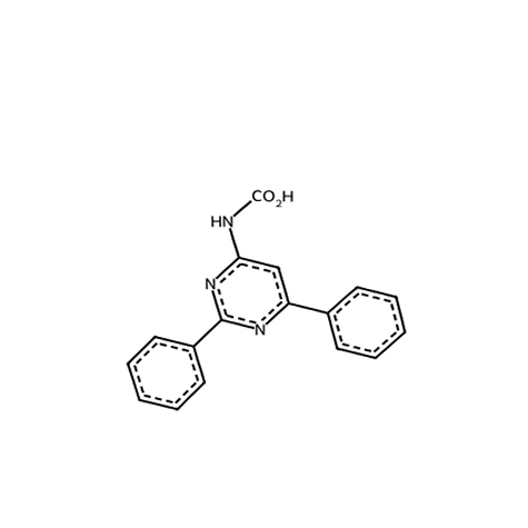 O=C(O)Nc1cc(-c2ccccc2)nc(-c2ccccc2)n1